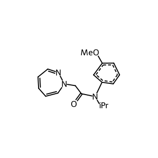 COc1cccc(N(C(=O)CN2C=CC=CC=N2)C(C)C)c1